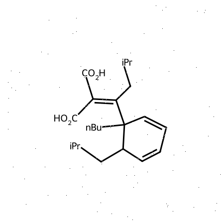 CCCCC1(C(CC(C)C)=C(C(=O)O)C(=O)O)C=CC=CC1CC(C)C